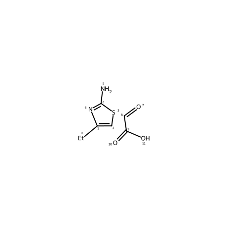 CCc1csc(N)n1.O=CC(=O)O